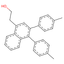 Cc1ccc(-c2[c]c(CCO)c3ccccc3c2-c2ccc(C)cc2)cc1